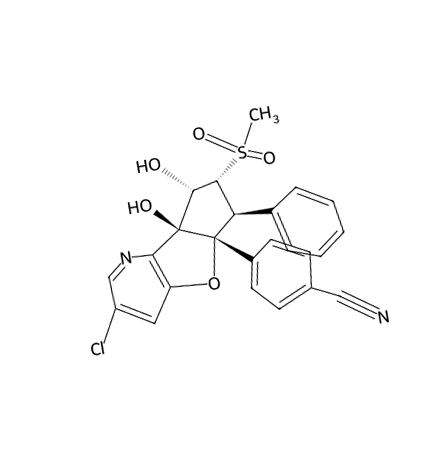 CS(=O)(=O)[C@H]1[C@@H](O)[C@@]2(O)c3ncc(Cl)cc3O[C@@]2(c2ccc(C#N)cc2)[C@@H]1c1ccccc1